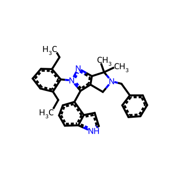 CCc1cccc(CC)c1-n1nc2c(c1-c1cccc3[nH]ccc13)CN(Cc1ccccc1)C2(C)C